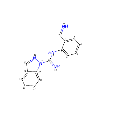 N=Cc1ccccc1NC(=N)n1ncc2ccccc21